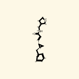 O=C(/C=C/[C@@H]1C[C@H]1Cc1ccccc1)NCC1CCOC1